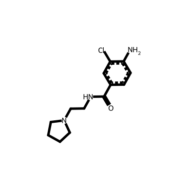 Nc1ccc(C(=O)NCCN2CCCC2)cc1Cl